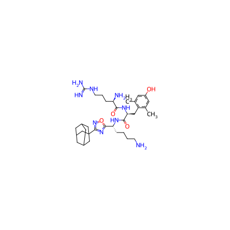 Cc1cc(O)cc(C)c1C[C@H](NC(=O)[C@H](N)CCCNC(=N)N)C(=O)N[C@H](CCCCN)c1nc(C23CC4CC(CC(C4)C2)C3)no1